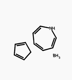 B.C1=CC=CNC=C1.C1=CCC=C1